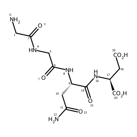 NCC(=O)NCC(=O)N[C@@H](CC(N)=O)C(=O)N[C@@H](CC(=O)O)C(=O)O